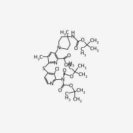 Cc1cc(N2CCC(C)(NC(=O)OC(C)(C)C)CC2)c(C(=O)O)nc1Sc1ccnc(N(C(=O)OC(C)(C)C)C(=O)OC(C)(C)C)c1Cl